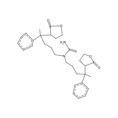 CC(CCCN(CCCC(C)(c1ccccc1)C1CCOC1=O)C(N)=S)(c1ccccc1)C1CCOC1=O